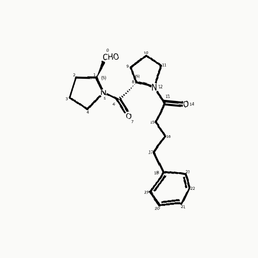 O=C[C@@H]1CCCN1C(=O)[C@@H]1CCCN1C(=O)CCCc1ccccc1